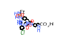 CCNS(=O)(=O)Nc1ccc(C[C@@H](C(=O)Nc2ccc3[nH]c(C(=O)O)cc3c2)N2CCN(c3cc(Cl)ccc3-n3cnnn3)C(=O)C2=O)cc1